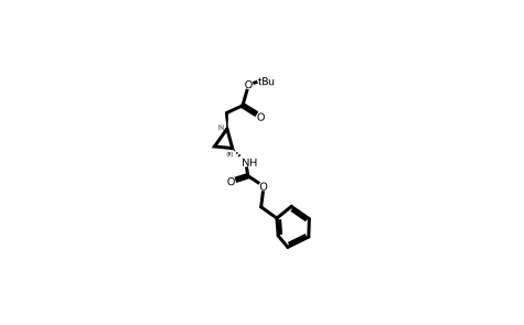 CC(C)(C)OC(=O)C[C@@H]1C[C@H]1NC(=O)OCc1ccccc1